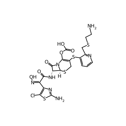 NCCSCc1ncccc1SC1=C(OC(=O)O)N2C(=O)[C@@H](NC(=O)/C(=N\O)c3nc(N)sc3Cl)[C@@H]2SC1